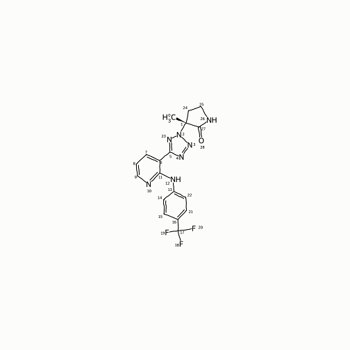 C[C@@]1(n2nnc(-c3cccnc3Nc3ccc(C(F)(F)F)cc3)n2)CCNC1=O